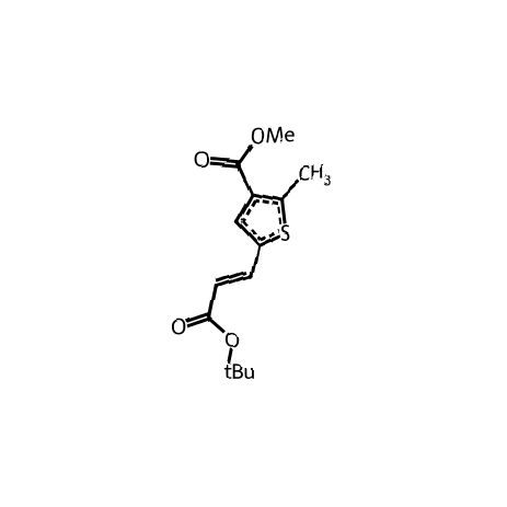 COC(=O)c1cc(C=CC(=O)OC(C)(C)C)sc1C